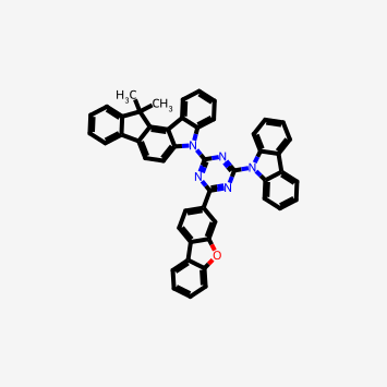 CC1(C)c2ccccc2-c2ccc3c(c21)c1ccccc1n3-c1nc(-c2ccc3c(c2)oc2ccccc23)nc(-n2c3ccccc3c3ccccc32)n1